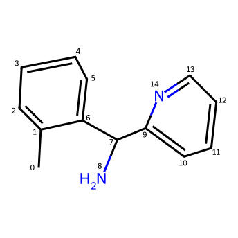 Cc1ccccc1C(N)c1ccccn1